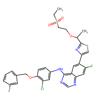 CCS(=O)(=O)CCOC(C)c1nc(-c2cc3c(Nc4ccc(OCc5cccc(F)c5)c(Cl)c4)ncnc3cc2F)cs1